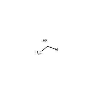 C[CH2][Al].F